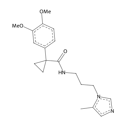 COc1ccc(C2(C(=O)NCCCn3cncc3C)CC2)cc1OC